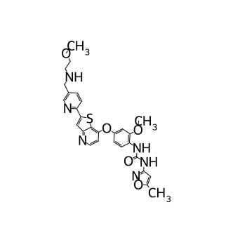 COCCNCc1ccc(-c2cc3nccc(Oc4ccc(NC(=O)Nc5cc(C)on5)c(OC)c4)c3s2)nc1